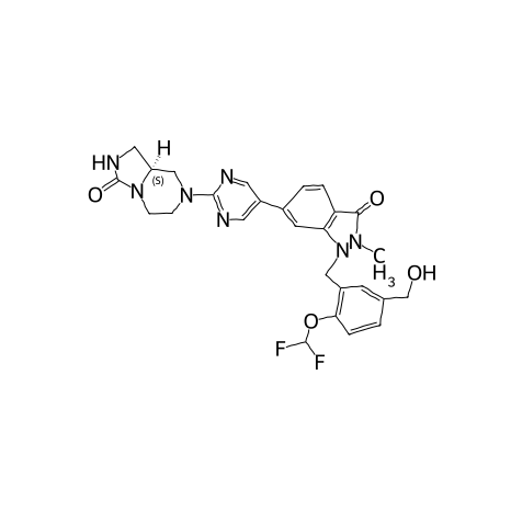 Cn1c(=O)c2ccc(-c3cnc(N4CCN5C(=O)NC[C@H]5C4)nc3)cc2n1Cc1cc(CO)ccc1OC(F)F